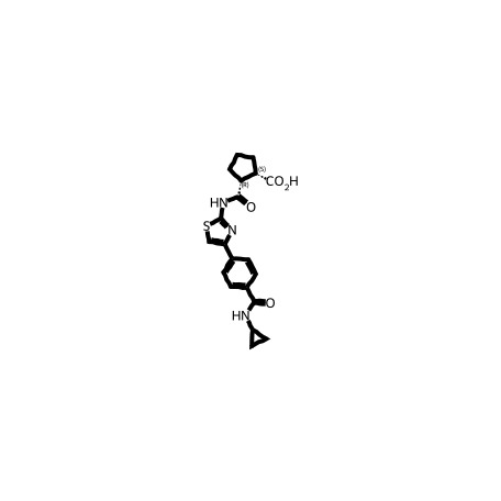 O=C(NC1CC1)c1ccc(-c2csc(NC(=O)[C@@H]3CCC[C@@H]3C(=O)O)n2)cc1